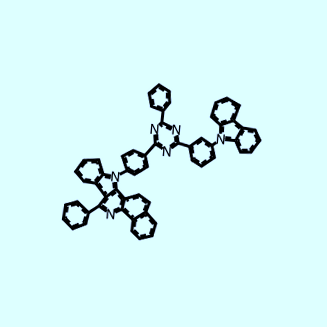 c1ccc(-c2nc(-c3ccc(-n4c5ccccc5c5c(-c6ccccc6)nc6c7ccccc7ccc6c54)cc3)nc(-c3cccc(-n4c5ccccc5c5ccccc54)c3)n2)cc1